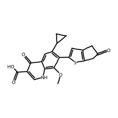 COc1c(-c2cc3c(s2)CC(=O)C3)c(C2CC2)cc2c(=O)c(C(=O)O)c[nH]c12